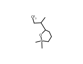 CC(CC(F)(F)F)C1CCC[Si](C)(C)O1